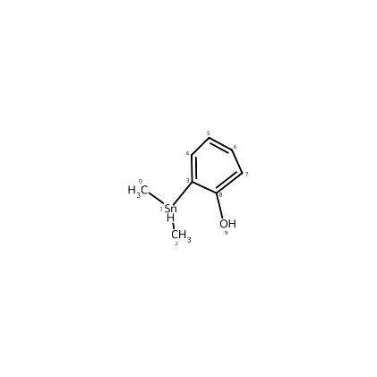 [CH3][SnH]([CH3])[c]1ccccc1O